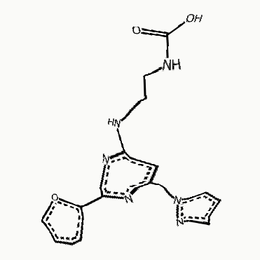 O=C(O)NCCNc1cc(-n2cccn2)nc(-c2ccco2)n1